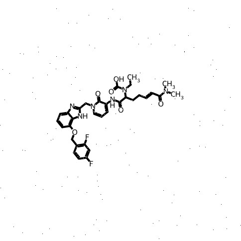 CCN(C(=O)O)C(CCC=CC(=O)N(C)C)C(=O)Nc1cccn(Cc2nc3cccc(OCc4ccc(F)cc4F)c3[nH]2)c1=O